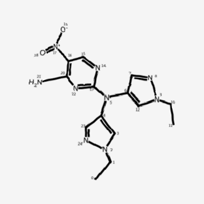 CCn1cc(N(c2cnn(CC)c2)c2ncc([N+](=O)[O-])c(N)n2)cn1